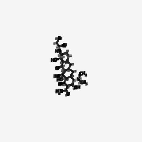 CN(C)[C@@H]1C(O)=C(C(N)=O)C(=O)[C@@]2(O)C(O)=C3C(=O)c4c(ccc(NC(=O)CBr)c4O)CC3CC12